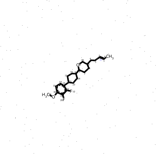 C/C=C/CCC1CCC(C2CCC(c3ccc(OC)c(F)c3F)CC2)OC1